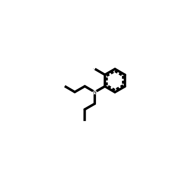 [CH2]c1ccccc1N(CCC)CCC